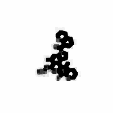 Cc1cc2c(c(-c3cc(F)c4c(c3C)CCCO4)c1[C@H](OC(C)(C)C)C(=O)O)CCN2C(=O)c1cccc2c1OCCC2